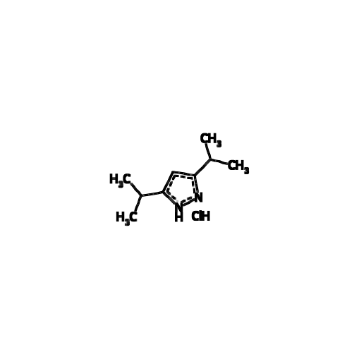 CC(C)c1cc(C(C)C)[nH]n1.Cl